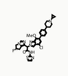 COc1c(-c2ccc(C3CCN(C4CC4)CC3)cc2)cc(Cl)c2cn(C(C(=O)Nc3nccs3)c3ncn4c3C[C@@H](F)C4)nc12